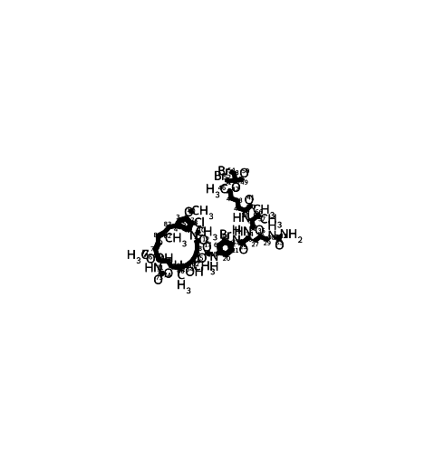 COc1cc2cc(c1Cl)N(C)C(=O)C[C@H](OC(=O)Nc1ccc(NC(=O)[C@H](CCCNC(N)=O)NC(=O)[C@@H](NC(C=O)CCCC(C)OC(C=O)(CBr)CBr)C(C)C)c(Br)c1)[C@@H](C)[C@@H](O)[C@H](C)[C@@H]1C[C@@](O)(NC(=O)O1)[C@H](OC)/C=C/C=C(\C)C2